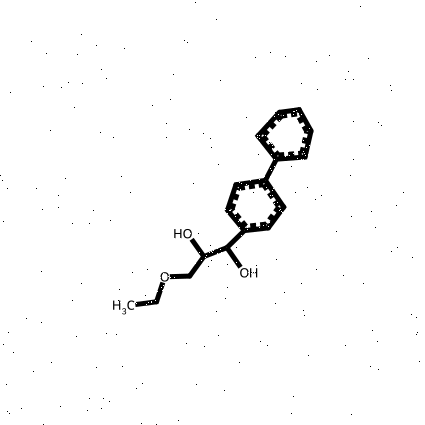 CCOCC(O)C(O)c1ccc(-c2ccccc2)cc1